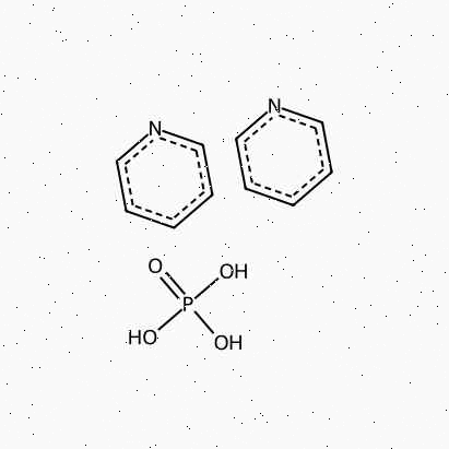 O=P(O)(O)O.c1ccncc1.c1ccncc1